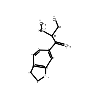 C=C(c1ccc2c(c1)SCC2)C(CCl)NC